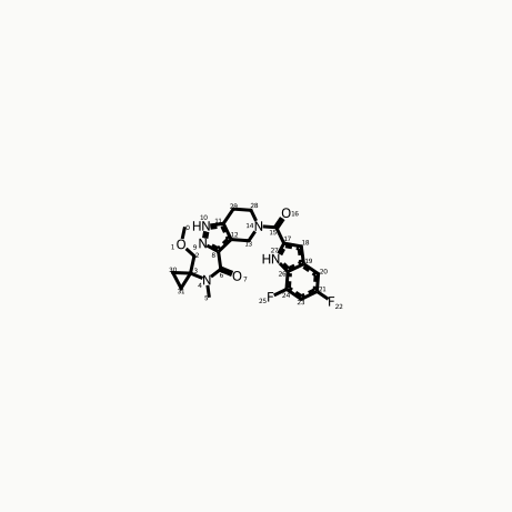 COCC1(N(C)C(=O)c2n[nH]c3c2CN(C(=O)c2cc4cc(F)cc(F)c4[nH]2)CC3)CC1